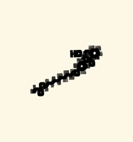 C=CC(=O)OCCCCCCCCCCOc1ccc(OC(=O)c2ccccc2C(=O)O)cc1